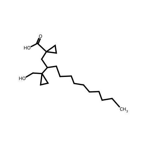 CCCCCCCCCCC(CC1(C(=O)O)CC1)C1(CO)CC1